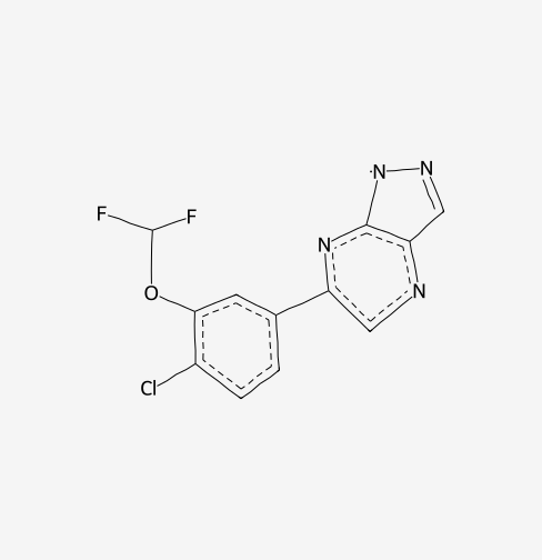 FC(F)Oc1cc(-c2cnc3c(n2)[N]N=C3)ccc1Cl